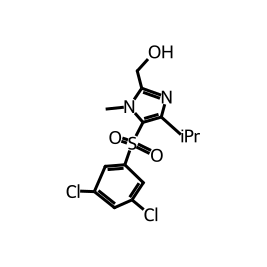 CC(C)c1nc(CO)n(C)c1S(=O)(=O)c1cc(Cl)cc(Cl)c1